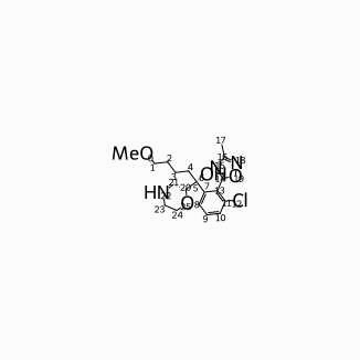 COCCCC[C@@](O)(c1cccc(Cl)c1-c1nc(C)no1)[C@H]1CNCCO1